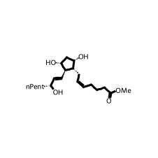 CCCCC[C@@H](O)/C=C/[C@@H]1[C@@H](C/C=C\CCCC(=O)OC)[C@@H](O)C[C@H]1O